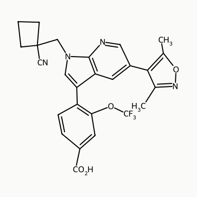 Cc1noc(C)c1-c1cnc2c(c1)c(-c1ccc(C(=O)O)cc1OC(F)(F)F)cn2CC1(C#N)CCC1